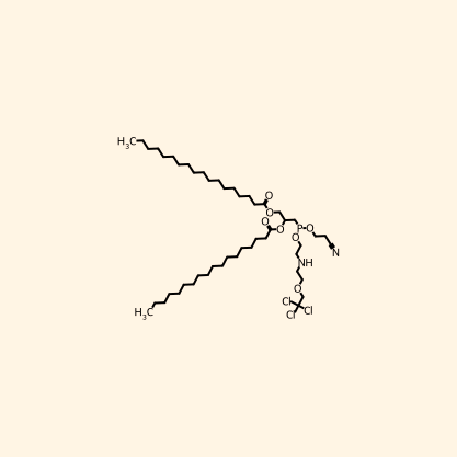 CCCCCCCCCCCCCCCCCC(=O)OCC(CP(OCCC#N)OCCNCCOCC(Cl)(Cl)Cl)OC(=O)CCCCCCCCCCCCCCCCC